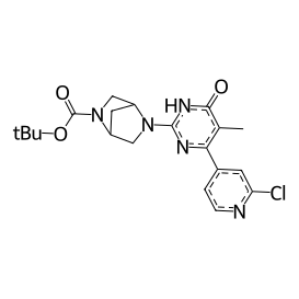 Cc1c(-c2ccnc(Cl)c2)nc(N2CC3CC2CN3C(=O)OC(C)(C)C)[nH]c1=O